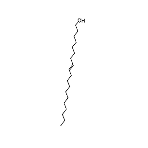 CCCCCCCCCC/C=C/CCCCCCCO